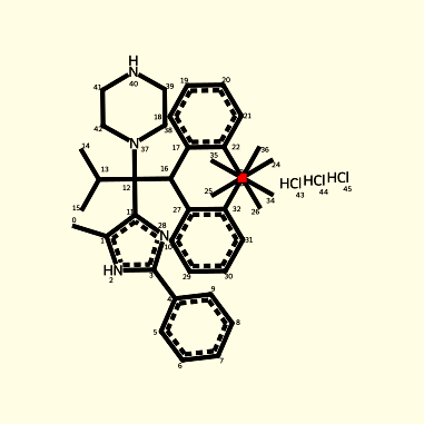 Cc1[nH]c(-c2ccccc2)nc1C(C(C)C)(C(c1ccccc1C(C)(C)C)c1ccccc1C(C)(C)C)N1CCNCC1.Cl.Cl.Cl